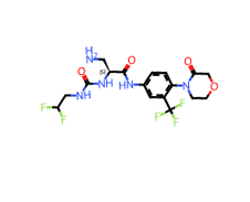 NC[C@H](NC(=O)NCC(F)F)C(=O)Nc1ccc(N2CCOCC2=O)c(C(F)(F)F)c1